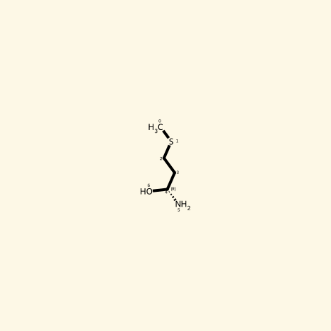 CSCC[C@H](N)O